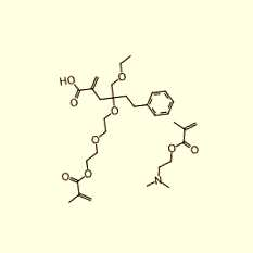 C=C(C)C(=O)OCCN(C)C.C=C(C)C(=O)OCCOCCOC(CCc1ccccc1)(COCC)CC(=C)C(=O)O